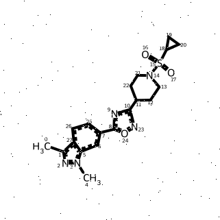 Cc1nn(C)c2cc(-c3nc(C4CCN(S(=O)(=O)C5CC5)CC4)no3)ccc12